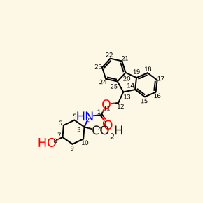 O=C(NC1(C(=O)O)CCC(O)CC1)OCC1c2ccccc2-c2ccccc21